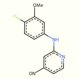 COc1cc(Nc2cc(N=O)ccn2)ccc1F